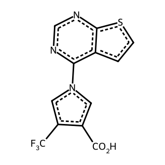 O=C(O)c1cn(-c2ncnc3sccc23)cc1C(F)(F)F